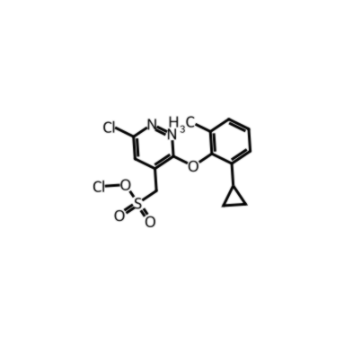 Cc1cccc(C2CC2)c1Oc1nnc(Cl)cc1CS(=O)(=O)OCl